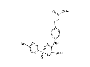 CCCCC(NS(=O)(=O)c1ccc(Br)cc1)C(=O)Nc1ccc(CCC(=O)OC)cc1